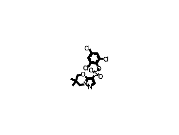 CC1(C)COc2c(S(=O)(=O)Oc3c(Cl)cc(Cl)cc3Cl)cnn2C1